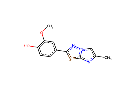 COc1cc(-c2nn3cc(C)nc3s2)ccc1O